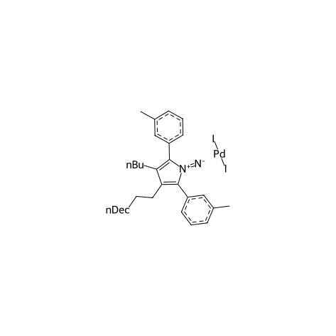 CCCCCCCCCCCCC1=C(c2cccc(C)c2)[N+](=[N-])C(c2cccc(C)c2)=C1CCCC.[I][Pd][I]